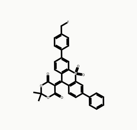 CC1(C)OC(=O)C(=C2c3ccc(-c4ccccc4)cc3S(=O)(=O)c3cc(-c4ccc(CF)cc4)ccc32)C(=O)O1